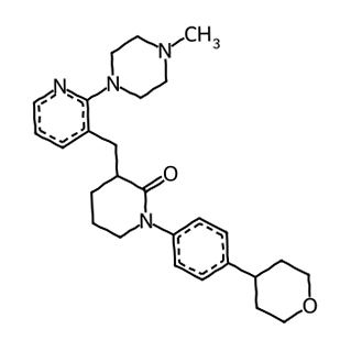 CN1CCN(c2ncccc2CC2CCCN(c3ccc(C4CCOCC4)cc3)C2=O)CC1